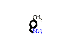 CC1=CC=c2[nH]ccc2=CC1